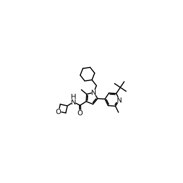 Cc1cc(-c2cc(C(=O)NC3COC3)c(C)n2CC2CCCCC2)cc(C(C)(C)C)n1